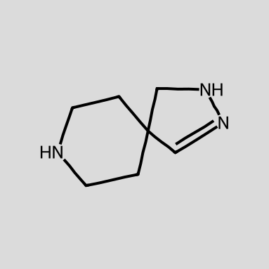 C1=NNCC12CCNCC2